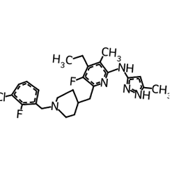 CCc1c(C)c(Nc2cc(C)[nH]n2)nc(CC2CCN(Cc3cccc(Cl)c3F)CC2)c1F